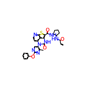 C=CC(=O)NC1CCC[C@H]1NC(=O)c1sc2nccc3c2c1NC(=O)N3c1cnc(Oc2ccccc2)nc1C